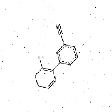 C#Cc1cccc(C2=C(S)CCC=C2)c1